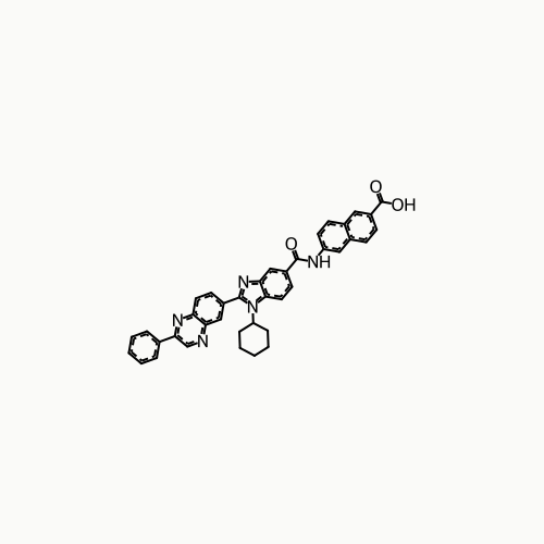 O=C(O)c1ccc2cc(NC(=O)c3ccc4c(c3)nc(-c3ccc5nc(-c6ccccc6)cnc5c3)n4C3CCCCC3)ccc2c1